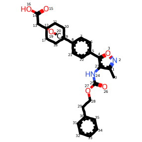 Cc1noc(-c2ccc(C34CCC(CC(=O)O)(CC3)OC4)cc2)c1NC(=O)OCCc1ccccc1